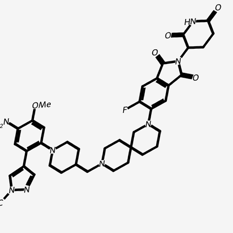 COc1cc(N2CCC(CN3CCC4(CCCN(c5cc6c(cc5F)C(=O)N(C5CCC(=O)NC5=O)C6=O)C4)CC3)CC2)c(-c2cnn(C)c2)cc1N